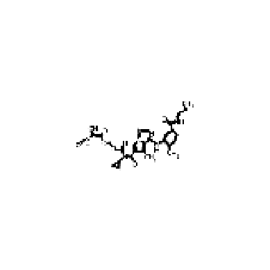 CCCNC(=O)c1ccc(C)c(Nc2ncnn3cc(C(=O)N(C(=O)OCOC(=O)C(C)NC=O)C4CC4)c(C)c23)c1